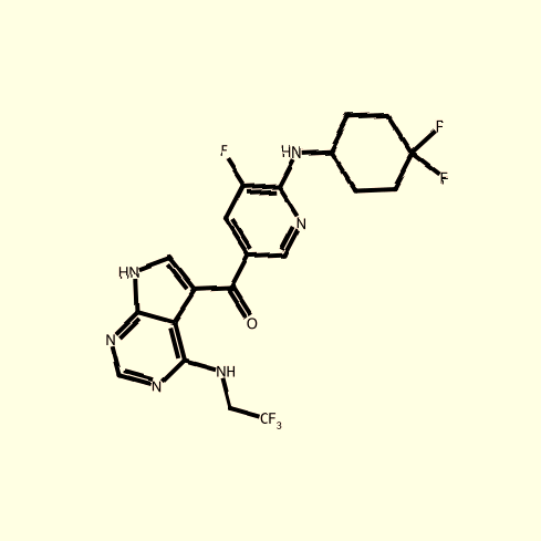 O=C(c1cnc(NC2CCC(F)(F)CC2)c(F)c1)c1c[nH]c2ncnc(NCC(F)(F)F)c12